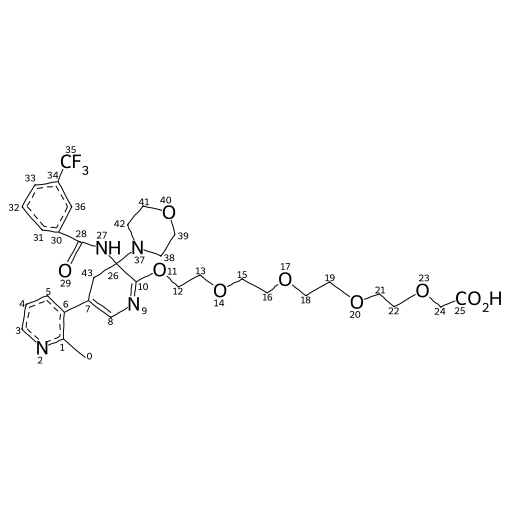 Cc1ncccc1C1=CN=C(OCCOCCOCCOCCOCC(=O)O)C(NC(=O)c2cccc(C(F)(F)F)c2)(N2CCOCC2)C1